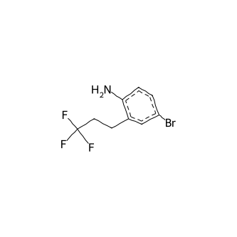 Nc1ccc(Br)cc1CCC(F)(F)F